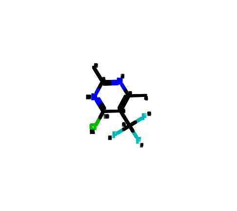 Cc1nc(C)c(C(F)(F)F)c(Cl)n1